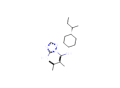 C=C(C)/C(C)=C(/N[C@H]1CC[C@H](C(C)CC)CC1)n1ncnc1N